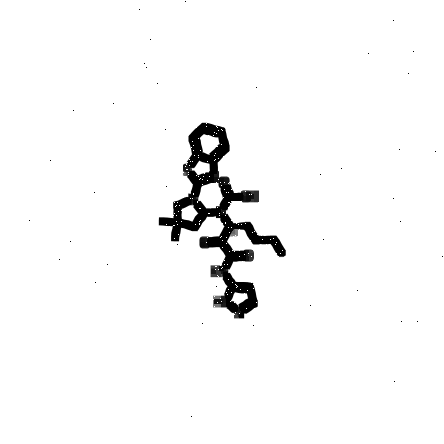 CCCC[C@@H](C(=O)C(=O)Nc1ccn[nH]1)N(C(=O)O)C1CC(C)(C)CN1c1nc2ccccc2s1